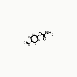 NC(=O)O[C@H]1CC[C@H](C=O)CC1